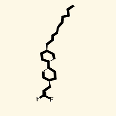 CCCCCCCCCC[C@H]1CC[C@H]([C@H]2CC[C@H](CC=C(F)F)CC2)CC1